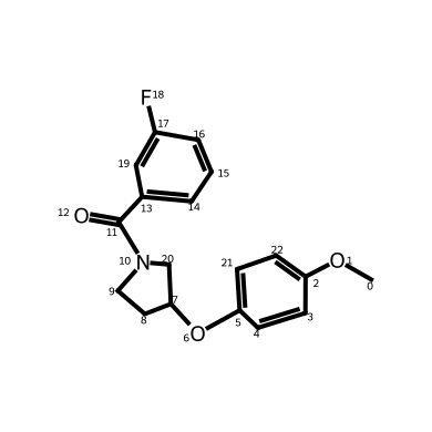 COc1ccc(OC2CCN(C(=O)c3cccc(F)c3)C2)cc1